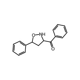 O=C(c1ccccc1)C1CC(c2ccccc2)ON1